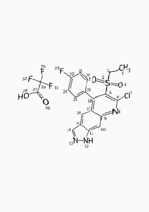 CCS(=O)(=O)c1c(Cl)nc2cc3[nH]ncc3cc2c1-c1ccc(F)cc1.O=C(O)C(F)(F)F